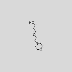 OCCCOCCN1CCOCC1